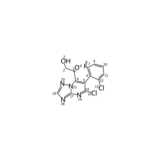 O=C(CO)c1c(-c2c(F)cccc2Cl)c(Cl)nc2ncnn12